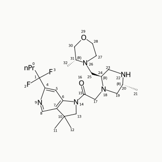 CCCC(F)(F)c1cc2c(cn1)C(C)(C)CN2C(=O)CN1C[C@@H](C)NC[C@@H]1CN1CCOC[C@H]1C